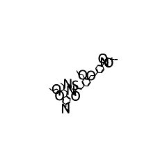 CCOC(=O)C1=C(C)N=c2s/c(=C\c3ccc(OCc4ccc([N+](=O)[O-])cc4)c(OCC)c3)c(=O)n2C1c1ccc(N(C)C)cc1